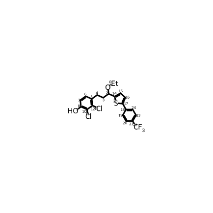 CCOC(CCc1ccc(O)c(Cl)c1Cl)c1ccc(-c2ccc(C(F)(F)F)cc2)s1